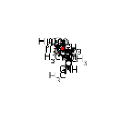 CCC(=O)NC1CCC(OC)(O[C@@H]2[C@@H](OC(C)=O)[C@]3(C)[C@@]4(COC(C)=O)C[C@H](OC(=O)CC(C)C)C(C)=C[C@H]4O[C@H]2[C@@]32CO2)CC1